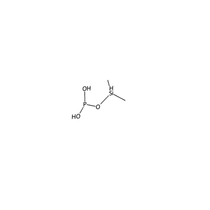 C[SiH](C)OP(O)O